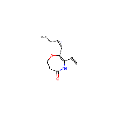 C=CC1=C(/C=C\C[N+](=O)[O-])OCCC(=O)N1